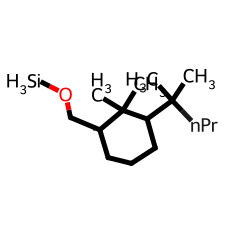 CCCC(C)(C)C1CCC[C](CO[SiH3])C1(C)C